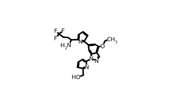 CCOc1cc(-c2cccc(C(N)CCC(F)(F)F)n2)cc2c1cnn2-c1cccc(CO)n1